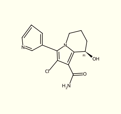 NC(=O)c1c(Cl)c(-c2cccnc2)n2c1[C@H](O)CCC2